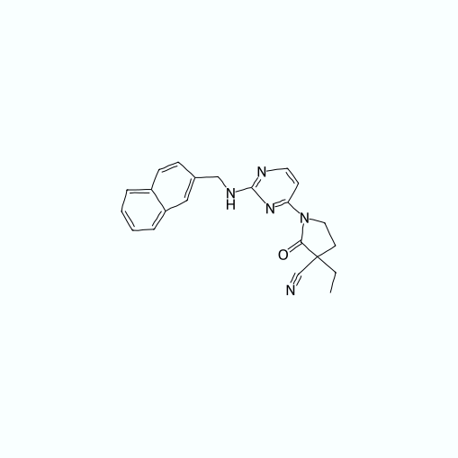 CCC1(C#N)CCN(c2ccnc(NCc3ccc4ccccc4c3)n2)C1=O